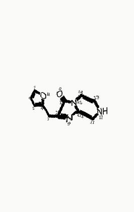 O=c1c(Cc2ccco2)nc2c[nH]ccn1-2